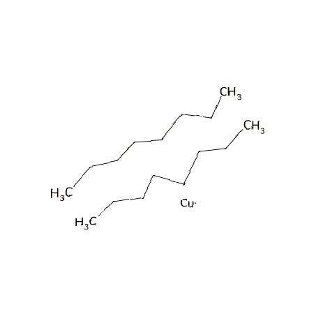 CCCCCCCC.CCCCCCCC.[Cu]